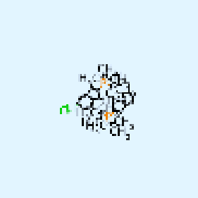 CC(C)(C)P(C1=Cc2ccccc2[CH]1[Hf+2][CH]1C(P(C(C)(C)C)C(C)(C)C)=Cc2ccccc21)C(C)(C)C.[Cl-].[Cl-]